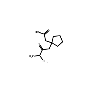 CC(C)C(=O)CC1(CC(=O)O)CCCC1